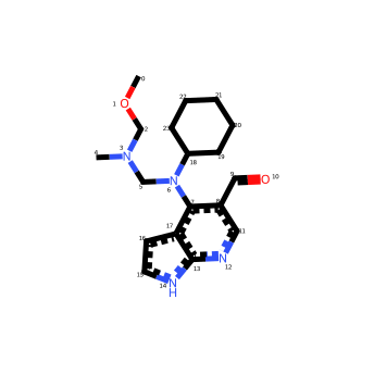 COCN(C)CN(c1c(C=O)cnc2[nH]ccc12)C1CCCCC1